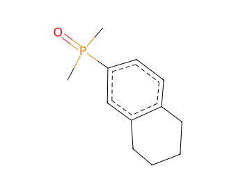 CP(C)(=O)c1ccc2c(c1)CCCC2